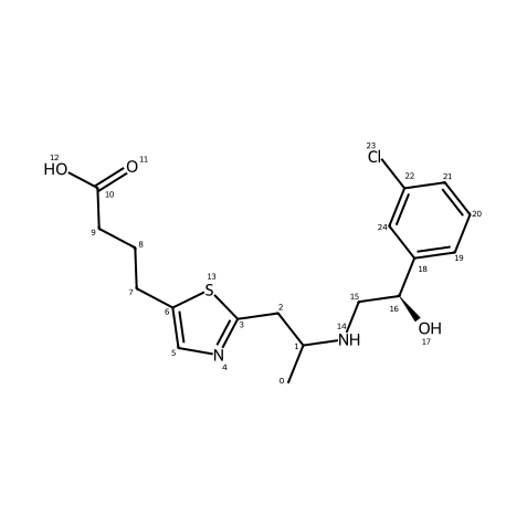 CC(Cc1ncc(CCCC(=O)O)s1)NC[C@H](O)c1cccc(Cl)c1